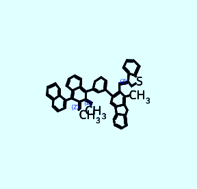 C/C=c1/c(C2=CC(c3cc4c(c(C)c3/C=C3\CSc5ccccc53)Cc3ccccc3-4)=CCC2)c2ccccc2c(-c2cccc3ccccc23)/c1=C/C